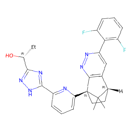 CC[C@@H](O)c1n[nH]c(-c2cccc([C@@]34CC[C@@H](c5cc(-c6c(F)cccc6F)nnc53)C4(C)C)n2)n1